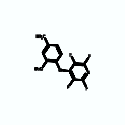 COc1cc(C(=O)O)ccc1Oc1c(F)c(F)nc(F)c1F